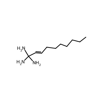 CCCCCCCC=CC(N)(N)N